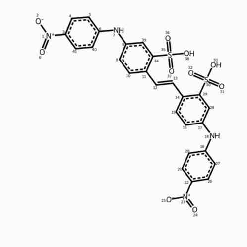 O=[N+]([O-])c1ccc(Nc2ccc(/C=C/c3ccc(Nc4ccc([N+](=O)[O-])cc4)cc3S(=O)(=O)O)c(S(=O)(=O)O)c2)cc1